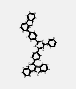 c1ccc(-c2nc(-c3ccc(-c4cccc5c4sc4ccccc45)cc3)nc(-c3ccc(-c4nc5ccccc5c5oc6ccccc6c45)cc3)n2)cc1